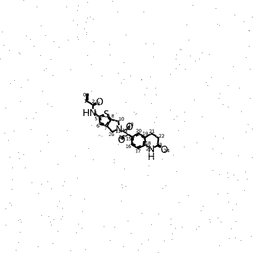 C=CC(=O)Nc1cc2c(s1)CN(S(=O)(=O)c1ccc3c(c1)CCC(=O)N3)C2